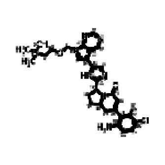 C[Si](C)(C)CCOCn1cc(-c2cnc([C@@H]3CCC4CC(c5c(N)ccc(Cl)c5F)=CC(=O)N43)[nH]2)c2cncnc21